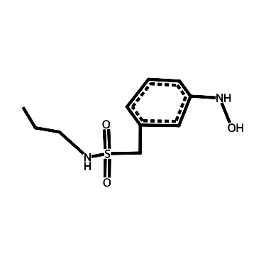 CCCNS(=O)(=O)Cc1cccc(NO)c1